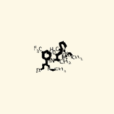 C=CN(CC)N1CCCC1(C)/C(C)=C(\C)C(=C)Nc1ccc(C(F)(F)F)cc1C(/C=C/CC)=C/N=C\C